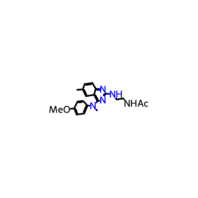 COc1ccc(N(C)c2nc(NCCNC(C)=O)nc3ccc(C)cc23)cc1